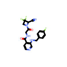 N#CC1N(C(=O)CNC(=O)c2ccncc2NCc2ccc(F)cc2)CC1(F)F